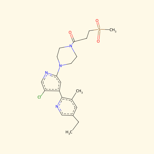 CCc1cnc(-c2cc(N3CCN(C(=O)CCS(C)(=O)=O)CC3)ncc2Cl)c(C)c1